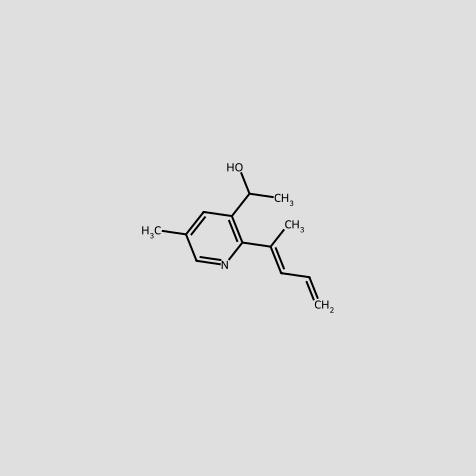 C=C/C=C(\C)c1ncc(C)cc1C(C)O